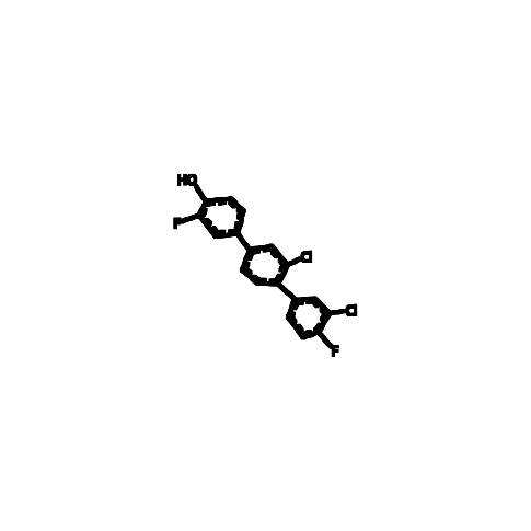 Oc1ccc(-c2ccc(-c3ccc(F)c(Cl)c3)c(Cl)c2)cc1F